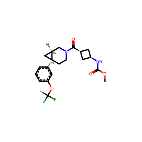 COC(=O)N[C@H]1C[C@@H](C(=O)N2CC[C@@]3(c4cccc(OC(F)(F)F)c4)C[C@H]3C2)C1